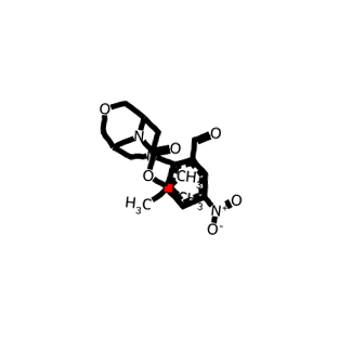 CC(C)(C)OC(=O)N1C2COCC1CN(c1ccc([N+](=O)[O-])cc1C=O)C2